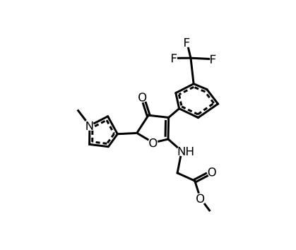 COC(=O)CNC1=C(c2cccc(C(F)(F)F)c2)C(=O)C(c2ccn(C)c2)O1